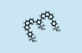 O=S(=O)(O)c1ccc(-c2ccc3ccc4ccc(-c5cc(-c6ccc7ccc8ccc(-c9ccc(S(=O)(=O)O)cc9)nc8c7n6)cc(S(=O)(=O)O)c5)nc4c3n2)cc1